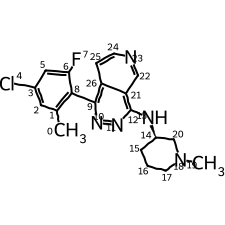 Cc1cc(Cl)cc(F)c1-c1nnc(N[C@@H]2CCCN(C)C2)c2cnccc12